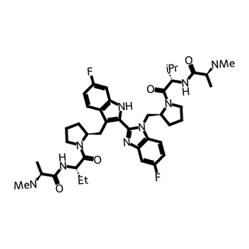 CC[C@H](NC(=O)[C@H](C)NC)C(=O)N1CCC[C@H]1Cc1c(-c2nc3cc(F)ccc3n2C[C@@H]2CCCN2C(=O)[C@@H](NC(=O)[C@H](C)NC)C(C)C)[nH]c2cc(F)ccc12